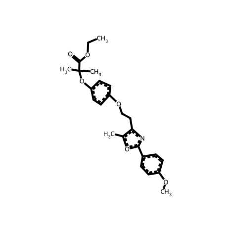 CCOC(=O)C(C)(C)Oc1ccc(OCCc2nc(-c3ccc(OC)cc3)oc2C)cc1